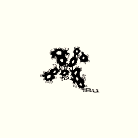 Cc1ccccc1-n1c2ccccc2c2cc3c(cc21)N(c1ccc2c(c1)C(C)(C)c1cc(C(C)(C)C)ccc1-2)c1cc(C(C)(C)C)cc2c1B3c1cc3c(cc1N2c1ccc2c(c1)C(C)(C)CCC2(C)C)C(C)(C)CCC3(C)C